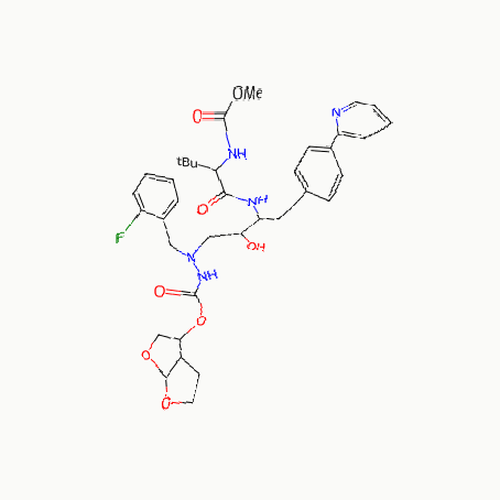 COC(=O)NC(C(=O)NC(Cc1ccc(-c2ccccn2)cc1)C(O)CN(Cc1ccccc1F)NC(=O)OC1COC2OCCC12)C(C)(C)C